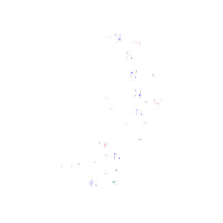 O=C(N[C@H]1CC[C@H](Cn2c(=O)n(-c3cccc(N4CCNC4=O)n3)c3ccccc32)CC1)c1cc(Cl)cnc1C(F)F